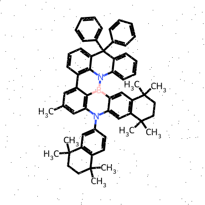 Cc1cc2c3c(c1)N(c1ccc4c(c1)C(C)(C)CCC4(C)C)c1cc4c(cc1B3N1c3ccccc3C(c3ccccc3)(c3ccccc3)c3cccc-2c31)C(C)(C)CCC4(C)C